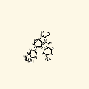 O=c1[nH]c2ncc(-c3cnc4[nH]ccc4c3)cc2n1C[C@H]1CC[C@@H](O)CC1